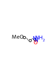 COc1ccc(CCc2cccc(Cc3cc(=O)n(C)c(N)n3)c2)cc1